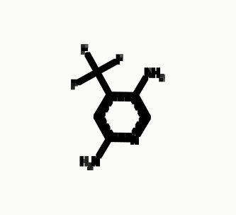 Nc1cc(C(F)(F)F)c(N)cn1